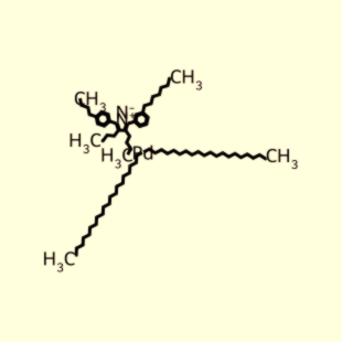 CCCCCCCCCCCCCCCCCCCC[CH2][Pd][CH2]CCCCCCCCCCCCCCCCCCCC.CCCCCCCCc1cccc(C2=C(CCCC)C(CCCC)=C(c3ccc(CCCC)cc3)[N+]2=[N-])c1